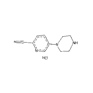 Cl.N#Cc1ccc(N2CCNCC2)cn1